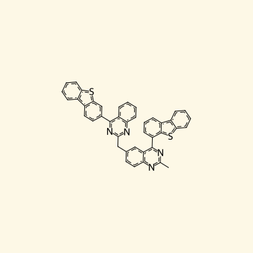 Cc1nc(-c2cccc3c2sc2ccccc23)c2cc(Cc3nc(-c4ccc5c(c4)sc4ccccc45)c4ccccc4n3)ccc2n1